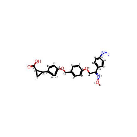 CO/N=C(\COc1ccc(COc2ccc(C3CC3C(=O)O)cc2)cc1)c1ccc(N)cc1